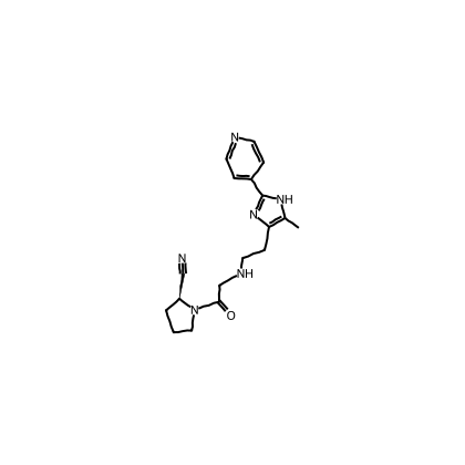 Cc1[nH]c(-c2ccncc2)nc1CCNCC(=O)N1CCC[C@H]1C#N